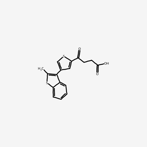 Cc1sc2ccccc2c1-c1csc(C(=O)CCC(=O)O)c1